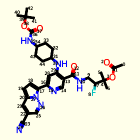 CC(=O)OC(C)(C)C(F)CNC(=O)c1cnc(-c2ccc3cc(C#N)cnn23)cc1NC1CCC(NC(=O)OC(C)(C)C)CC1